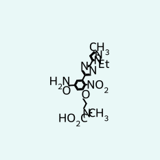 CCn1nc(C)cc1-c1ncc(-c2cc(C(N)=O)cc(OCCCN(C)C(=O)O)c2[N+](=O)[O-])cn1